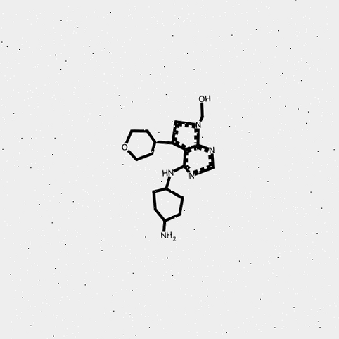 NC1CCC(Nc2ncnc3c2c(C2CCOCC2)cn3CO)CC1